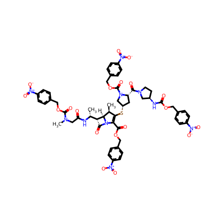 C[C@@H](NC(=O)CN(C)C(=O)OCc1ccc([N+](=O)[O-])cc1)[C@H]1C(=O)N2C(C(=O)OCc3ccc([N+](=O)[O-])cc3)=C(S[C@H]3C[C@@H](C(=O)N4CC[C@@H](NC(=O)OCc5ccc([N+](=O)[O-])cc5)C4)N(C(=O)OCc4ccc([N+](=O)[O-])cc4)C3)[C@H](C)[C@H]12